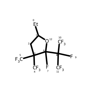 CCC1CC(C(F)(F)F)(C(F)(F)F)C(F)(C(F)(C(F)(F)F)C(F)(F)F)O1